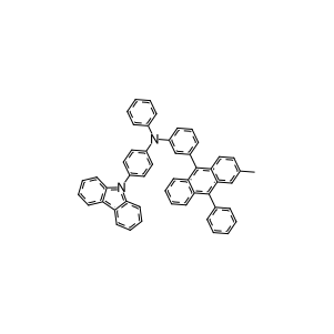 Cc1ccc2c(-c3cccc(N(c4ccccc4)c4ccc(-n5c6ccccc6c6ccccc65)cc4)c3)c3ccccc3c(-c3ccccc3)c2c1